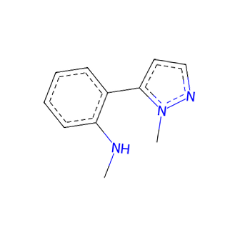 CNc1ccccc1-c1ccnn1C